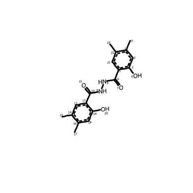 Cc1cc(O)c(C(=O)NNC(=O)c2cc(C)c(C)cc2O)cc1C